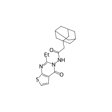 CCc1nc2sccc2c(=O)n1NC(=O)CC12CC3CC(CC(C3)C1)C2